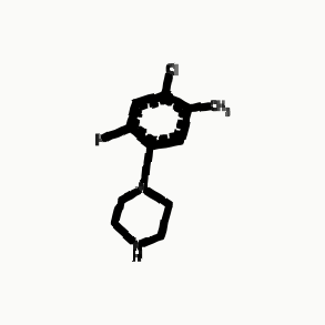 Cc1cc(N2CCNCC2)c(F)cc1Cl